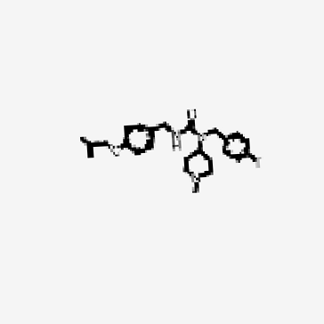 C=C(C)COc1ccc(CNC(=O)N(Cc2ccc(F)cc2)C2CCN(C)CC2)cc1